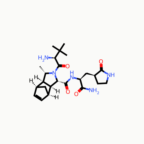 C[C@H]1[C@H]2[C@@H]([C@@H](C(=O)N[C@@H](C[C@@H]3CCNC3=O)C(N)=O)N1C(=O)[C@@H](N)C(C)(C)C)[C@H]1C=C[C@@H]2C1